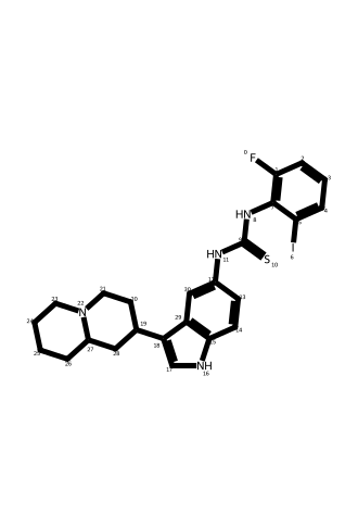 Fc1cccc(I)c1NC(=S)Nc1ccc2[nH]cc(C3CCN4CCCCC4C3)c2c1